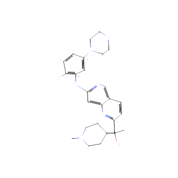 CN1CCC(C(C)(O)c2ccc3cnc(Nc4cc(N5CCNCC5)ccc4F)cc3n2)CC1